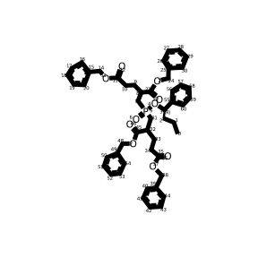 CCC[C@@H](OP(=O)(CC(CCC(=O)OCc1ccccc1)C(=O)OCc1ccccc1)CC(CCC(=O)OCc1ccccc1)C(=O)OCc1ccccc1)c1ccccc1